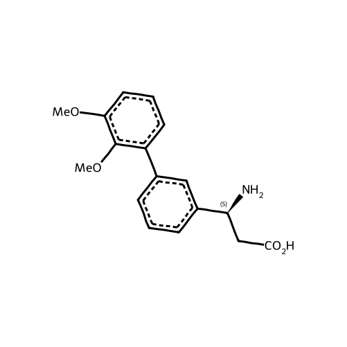 COc1cccc(-c2cccc([C@@H](N)CC(=O)O)c2)c1OC